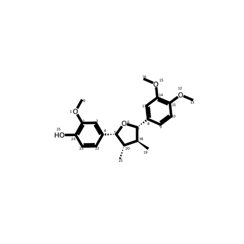 COc1cc([C@@H]2O[C@H](c3ccc(OC)c(OC)c3)[C@@H](C)[C@@H]2C)ccc1O